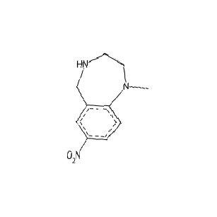 CN1CCNCc2cc([N+](=O)[O-])ccc21